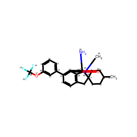 CC1CCC2(CC1)Cc1ccc(-c3cccc(OC(F)(F)F)c3)cc1C21N=C(N)N(C)C1=O